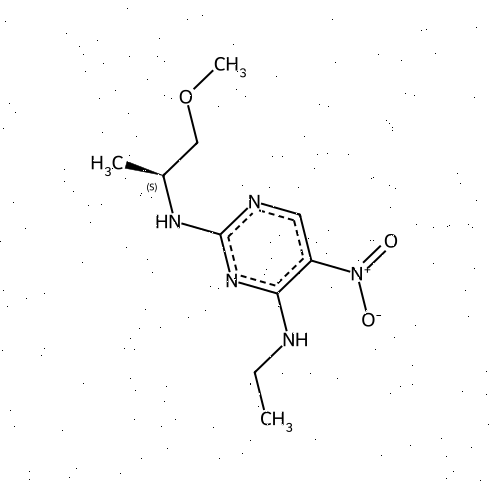 CCNc1nc(N[C@@H](C)COC)ncc1[N+](=O)[O-]